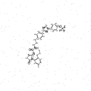 CCCc1ccc(C)cc1N1C(=O)CSC1=NC(=O)NCCCc1ccc(-c2ncn(-c3ccc(OC(F)(F)F)cc3)n2)cc1